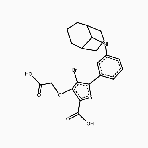 O=C(O)COc1c(C(=O)O)sc(-c2cccc(NC3C4CCCC3CCC4)c2)c1Br